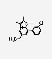 BCC1=CN2C(C)=C(C)NC2C(c2cccc(Cl)c2)=C1